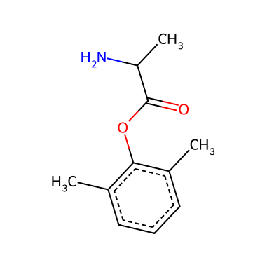 Cc1cccc(C)c1OC(=O)C(C)N